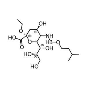 CCO[C@]1(C(=O)O)C[C@@H](O)C(NBOCCC(C)C)C([C@H](O)[C@H](O)CO)O1